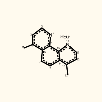 Cc1ccnc2c1ccc1c(C)ccnc12.[Eu]